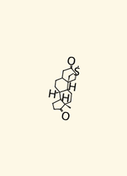 CSC[C@]12CCC(=O)CC1CC[C@@H]1[C@H]2CC[C@]2(C)C(=O)CC[C@@H]12